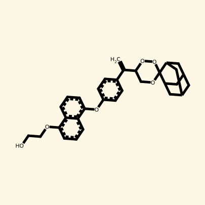 C=C(c1ccc(Oc2cccc3c(OCCO)cccc23)cc1)C1COC2(OO1)C1CC3CC(C1)CC2C3